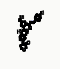 CCO[C@@H]1C[C@H](C(=O)Nc2ccc(N3CCOCC3=O)cc2F)N(C(=O)/C=C/c2ccc(Cl)cc2)C1